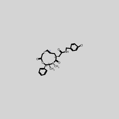 C[C@H]1[C@@H](c2ccccc2)OC(=O)CC/C=C/C[C@@H](CC(=O)NCc2ccc(Cl)cc2)C(=O)N1C